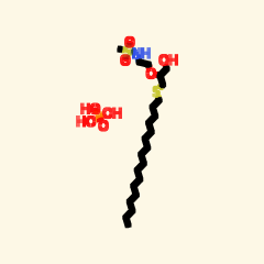 CCCCCCCCCCCCCCCCCSCC(CO)OCCNS(C)(=O)=O.O=P(O)(O)O